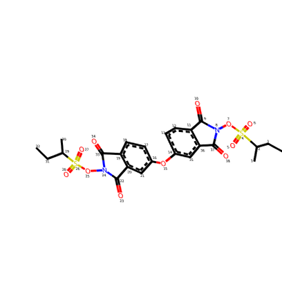 CCC(C)S(=O)(=O)ON1C(=O)c2ccc(Oc3ccc4c(c3)C(=O)N(OS(=O)(=O)C(C)CC)C4=O)cc2C1=O